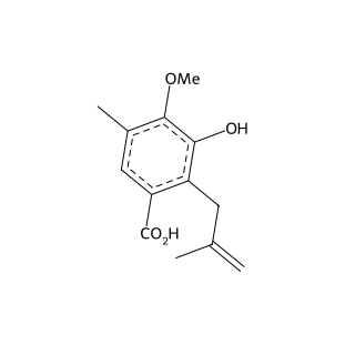 C=C(C)Cc1c(C(=O)O)cc(C)c(OC)c1O